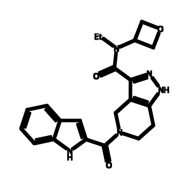 CCN(C(=O)c1n[nH]c2c1CN(C(=O)c1cc3ccccc3[nH]1)CC2)C1COC1